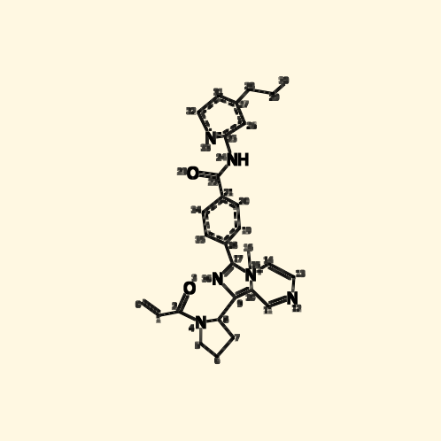 C=CC(=O)N1CCCC1C1=C2C=NC=C[N+]2(C)C(c2ccc(C(=O)Nc3cc(CCC)ccn3)cc2)=N1